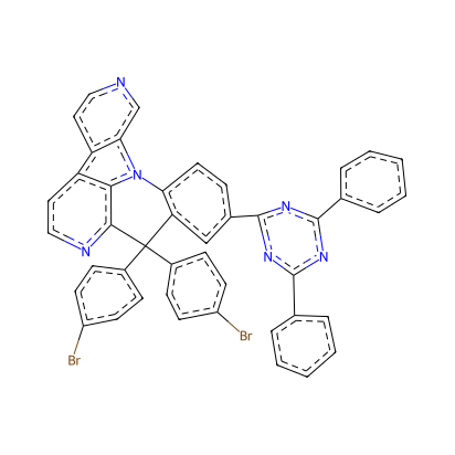 Brc1ccc(C2(c3ccc(Br)cc3)c3cc(-c4nc(-c5ccccc5)nc(-c5ccccc5)n4)ccc3-n3c4cnccc4c4ccnc2c43)cc1